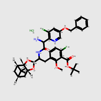 COc1c(CC(NC(=O)C(N)c2ncc(OCc3ccccc3)cc2F)B2O[C@@H]3C[C@@H]4C[C@@H](C4(C)C)[C@]3(C)O2)ccc(F)c1C(=O)OC(C)(C)C.Cl